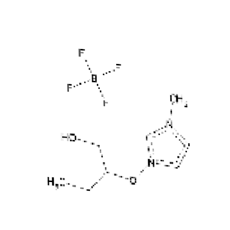 CCC(CO)O[n+]1ccn(C)c1.F[B-](F)(F)F